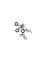 COc1cc(C(=O)OCCl)ccc1OP(=O)(OCc1ccccc1)OCc1ccccc1